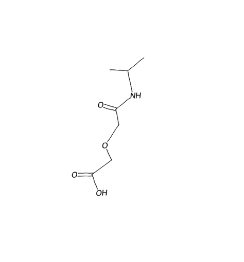 CC(C)NC(=O)COCC(=O)O